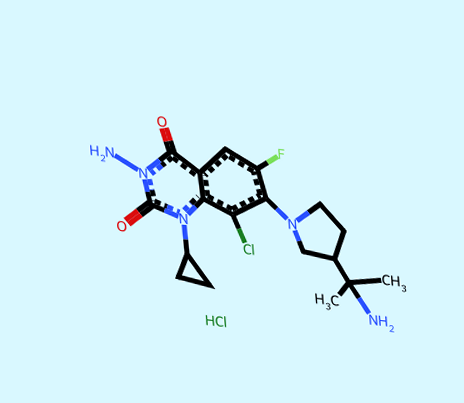 CC(C)(N)C1CCN(c2c(F)cc3c(=O)n(N)c(=O)n(C4CC4)c3c2Cl)C1.Cl